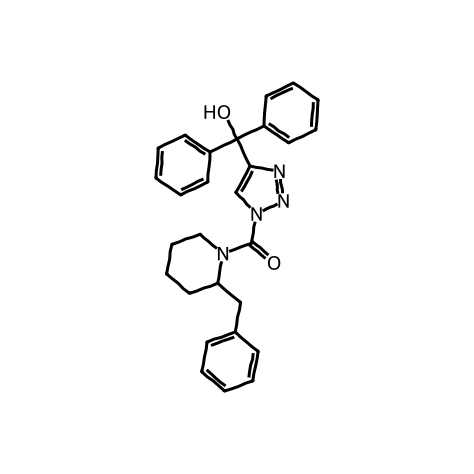 O=C(N1CCCCC1Cc1ccccc1)n1cc(C(O)(c2ccccc2)c2ccccc2)nn1